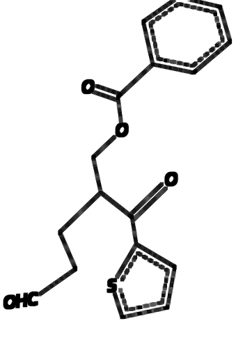 O=CCCC(COC(=O)c1ccccc1)C(=O)c1cccs1